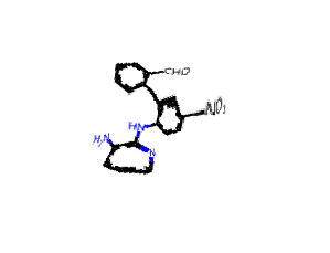 Nc1cccnc1Nc1ccc([N+](=O)[O-])cc1-c1ccccc1C=O